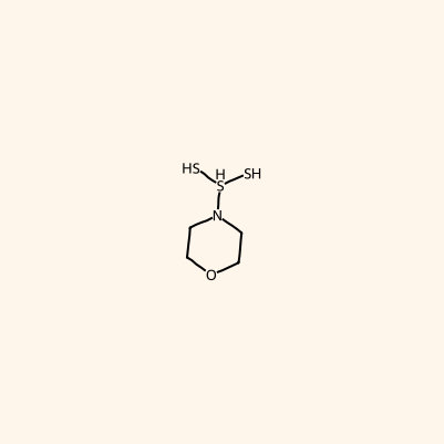 S[SH](S)N1CCOCC1